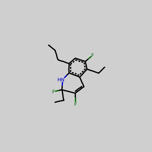 CCCc1cc(F)c(CC)c2c1NC(F)(CC)C(F)=C2